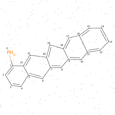 Pc1cccc2cc3cc4cc5ccccc5cc4cc3cc12